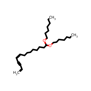 C=CC#C/C=C\CCCCCCCC(OCCCCCCC)OCCCCCCC